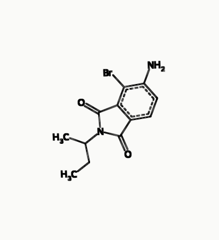 CCC(C)N1C(=O)c2ccc(N)c(Br)c2C1=O